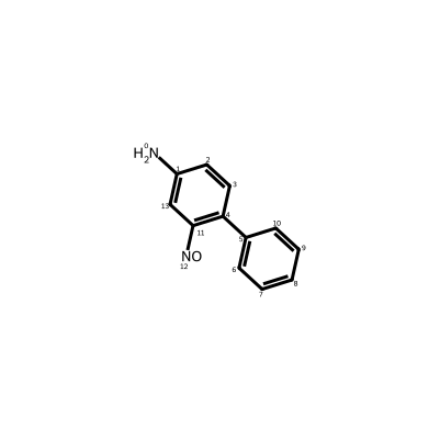 Nc1ccc(-c2ccccc2)c(N=O)c1